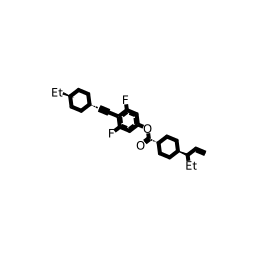 C=CC(CC)[C@H]1CC[C@H](C(=O)Oc2cc(F)c(C#C[C@H]3CC[C@H](CC)CC3)c(F)c2)CC1